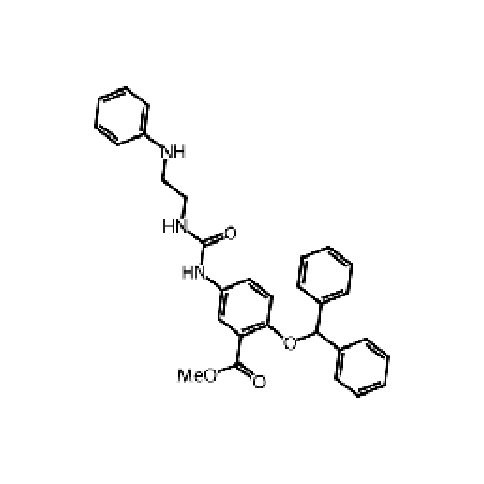 COC(=O)c1cc(NC(=O)NCCNc2ccccc2)ccc1OC(c1ccccc1)c1ccccc1